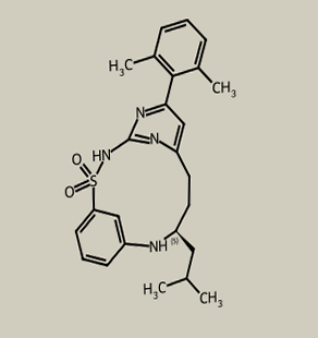 Cc1cccc(C)c1-c1cc2nc(n1)NS(=O)(=O)c1cccc(c1)N[C@H](CC(C)C)CC2